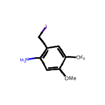 COc1cc(N)c(CI)cc1C